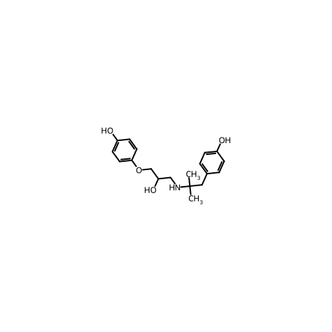 CC(C)(Cc1ccc(O)cc1)NCC(O)COc1ccc(O)cc1